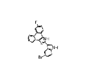 Fc1ccc2c(c1)c1ccccc1c1nc(-c3c[nH]c4ccc(Br)cc34)[nH]c21